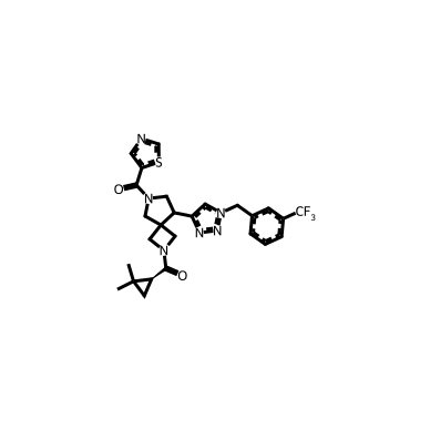 CC1(C)C[C@@H]1C(=O)N1CC2(CN(C(=O)c3cncs3)CC2c2cn(Cc3cccc(C(F)(F)F)c3)nn2)C1